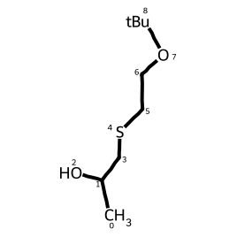 CC(O)CSCCOC(C)(C)C